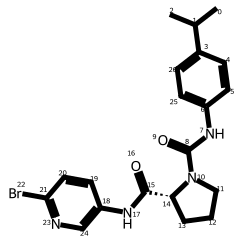 CC(C)c1ccc(NC(=O)N2CCC[C@@H]2C(=O)Nc2ccc(Br)nc2)cc1